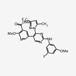 COC(=O)c1cc(-c2cnc(Nc3cc(F)cc(OC)c3)nc2-n2nc(C(F)(F)F)cc2C)cnc1OC